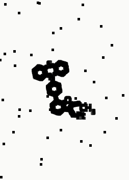 C/C=c1/oc2c(-c3ccc(N4c5ccccc5Sc5ccccc54)cc3)cccc2/c1=C/CC